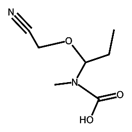 CCC(OCC#N)N(C)C(=O)O